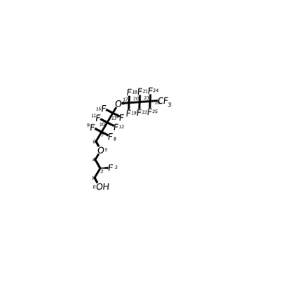 OC[C@H](F)COCC(F)(F)C(F)(F)C(F)(F)OC(F)(F)C(F)(F)C(F)(F)C(F)(F)F